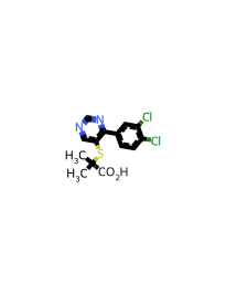 CC(C)(Sc1cncnc1-c1ccc(Cl)c(Cl)c1)C(=O)O